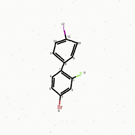 Fc1cc(Br)ccc1-c1ccc(I)cc1